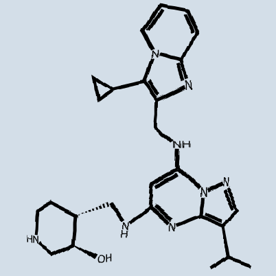 CC(C)c1cnn2c(NCc3nc4ccccn4c3C3CC3)cc(NC[C@H]3CCNC[C@@H]3O)nc12